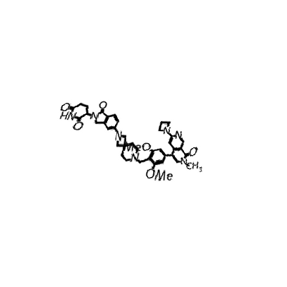 COc1cc(-c2cn(C)c(=O)c3cnc(N4CCC4)cc23)cc(OC)c1CN1CCC2(CC1)CN(c1ccc3c(c1)CN(C1CCC(=O)NC1=O)C3=O)C2